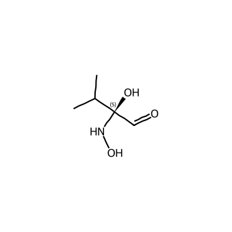 CC(C)[C@](O)(C=O)NO